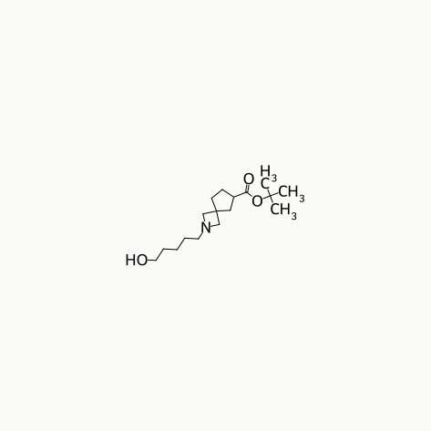 CC(C)(C)OC(=O)C1CCC2(C1)CN(CCCCCO)C2